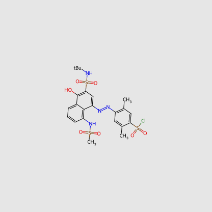 Cc1cc(S(=O)(=O)Cl)c(C)cc1N=Nc1cc(S(=O)(=O)NC(C)(C)C)c(O)c2cccc(NS(C)(=O)=O)c12